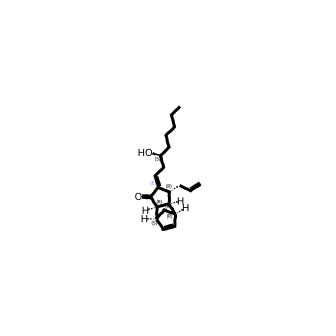 C=CC[C@H]1/C(=C\C[C@@H](O)CCCCC)C(=O)[C@H]2[C@@H]1[C@H]1C=C[C@@H]2C1